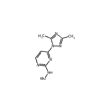 Cc1nc(C)n(-c2ccnc(NC(C)(C)C)n2)n1